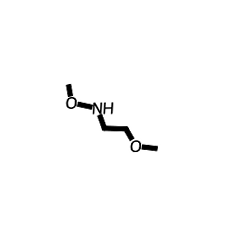 COCCNOC